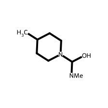 CNC(O)N1CCC(C)CC1